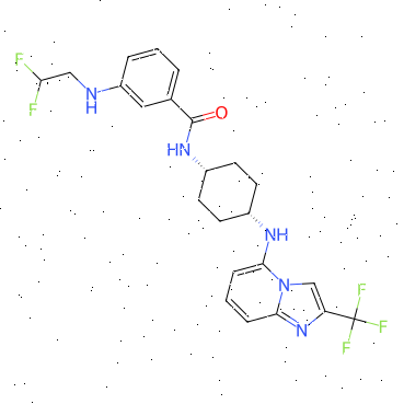 O=C(N[C@H]1CC[C@@H](Nc2cccc3nc(C(F)(F)F)cn23)CC1)c1cccc(NCC(F)F)c1